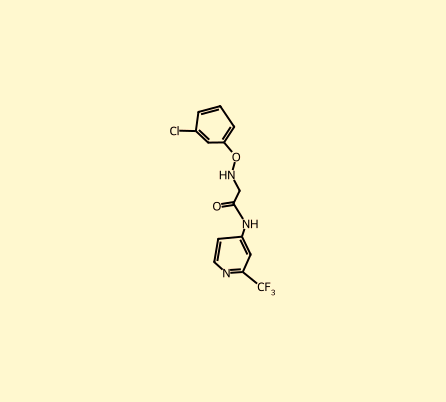 O=C(CNOc1cccc(Cl)c1)Nc1ccnc(C(F)(F)F)c1